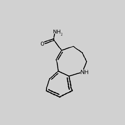 NC(=O)C1=Cc2ccccc2NCCC1